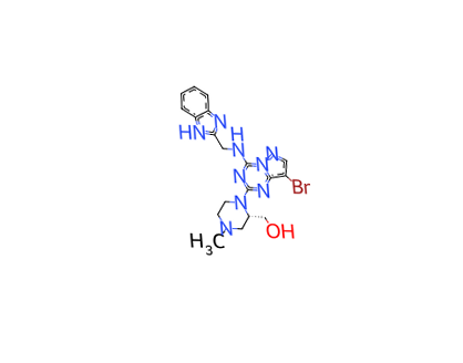 CN1CCN(c2nc(NCc3nc4ccccc4[nH]3)n3ncc(Br)c3n2)[C@H](CO)C1